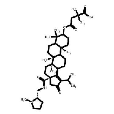 CC(C)C1=C2C3CCC4[C@@]5(C)CC[C@H](OC(=O)CC(C)(C)C(=O)O)C(C)(C)C5CC[C@@]4(C)[C@]3(C)CC[C@@]2(C(=O)NC[C@@H]2CCCN2C)CC1=O